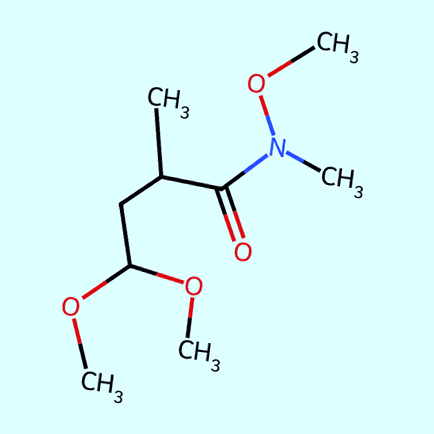 COC(CC(C)C(=O)N(C)OC)OC